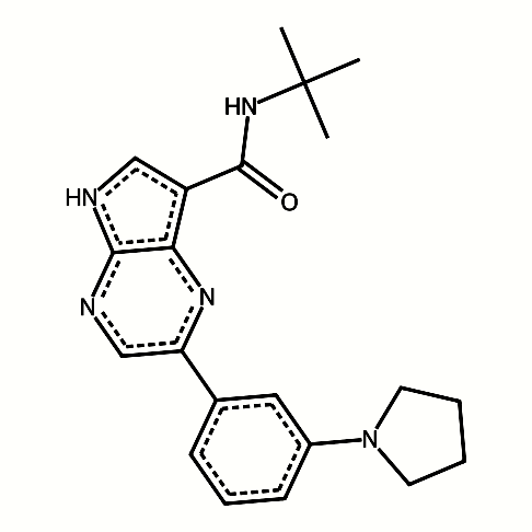 CC(C)(C)NC(=O)c1c[nH]c2ncc(-c3cccc(N4CCCC4)c3)nc12